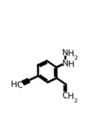 C#Cc1ccc(NN)c(C=C)c1